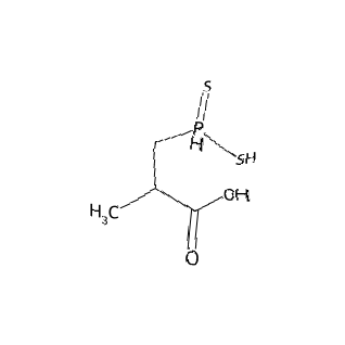 CC(C[PH](=S)S)C(=O)O